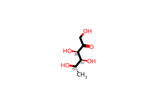 C[C@H](O)[C@H](O)[C@@H](O)C(=O)CO